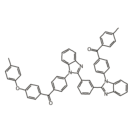 Cc1ccc(Oc2ccc(C(=O)c3ccc(-n4c(-c5cccc(-c6nc7ccccc7n6-c6ccc(C(=O)c7ccc(C)cc7)cc6)c5)nc5ccccc54)cc3)cc2)cc1